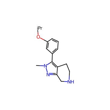 CC(C)Oc1cccc(-c2c3c(nn2C)CNCC3)c1